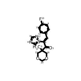 CC1(C(=O)C(=Cc2ccc(F)cc2)n2cncn2)COCOC1